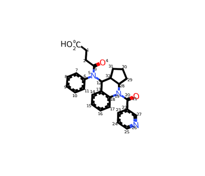 O=C(O)CCC(=O)N(c1ccccc1)C1c2ccccc2N(C(=O)c2cccnc2)C2CCCC21